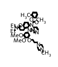 CCN(CC)C(=O)CCc1cccc(N(C(=O)Oc2c(C)cccc2C)c2ccncn2)c1Nc1cc(OC)c(OC)c(OCCCN2CCN(C)CC2)c1